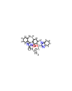 CCCc1nc2ccccc2n1Cc1ccc2c(c1)CCc1ccccc1[C@]21N=C(C)N1O